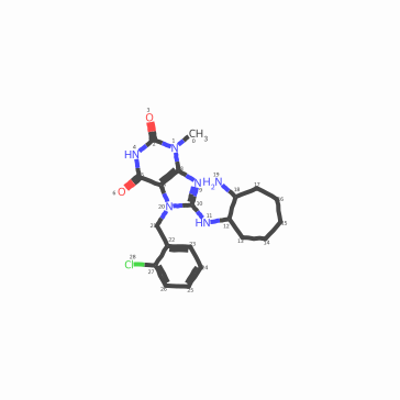 Cn1c(=O)[nH]c(=O)c2c1nc(NC1CCCCCC1N)n2Cc1ccccc1Cl